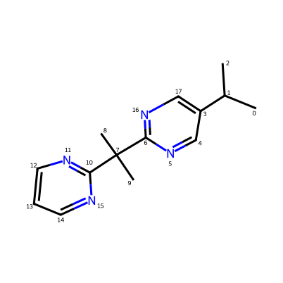 CC(C)c1cnc(C(C)(C)c2ncccn2)nc1